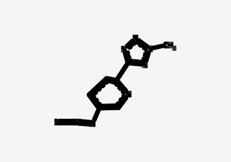 Cn1nnc(-c2ccc(N=[N+]=[N-])cn2)n1